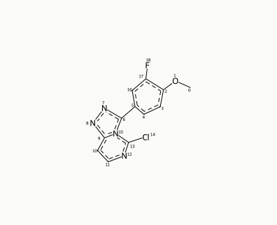 COc1ccc(-c2nnc3ccnc(Cl)n23)cc1F